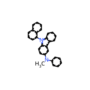 CN(c1ccccc1)c1ccc2c(c1)c1ccccc1n2-c1cccc2ccccc12